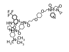 CC(C)N(C)[C@@H]1CC[C@H](N2CC[C@H](Nc3ncnc4ccc(C(F)(F)F)cc34)C2=O)[C@H](NC(=O)C2CCC(NC(=O)CCCOC3CCC(OCCNC(=O)[C@H]4CC(=O)N(C5CC5)[C@@H]4c4cccnc4)CC3)CC2)C1